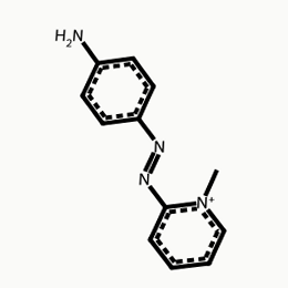 C[n+]1ccccc1N=Nc1ccc(N)cc1